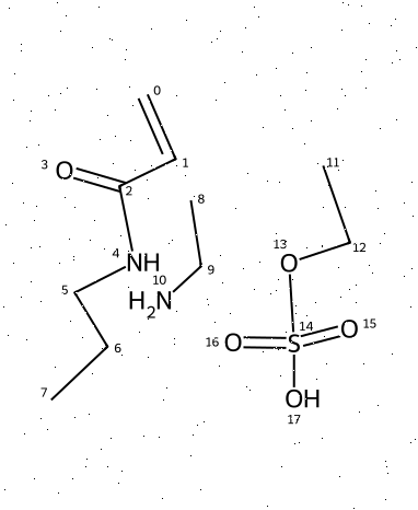 C=CC(=O)NCCC.CCN.CCOS(=O)(=O)O